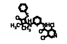 CC1(C)C(=O)C(Sc2ccccc2)=C1Nc1[c]c(NC(=O)c2c(Cl)cncc2Cl)ccc1